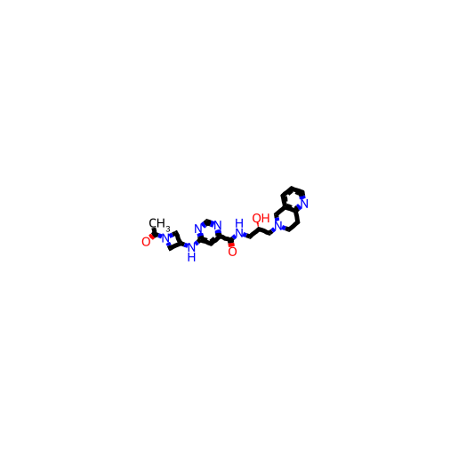 CC(=O)N1CC(Nc2cc(C(=O)NC[C@H](O)CN3CCc4ncccc4C3)ncn2)C1